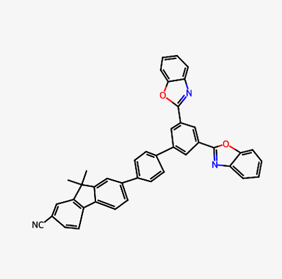 CC1(C)c2cc(C#N)ccc2-c2ccc(-c3ccc(-c4cc(-c5nc6ccccc6o5)cc(-c5nc6ccccc6o5)c4)cc3)cc21